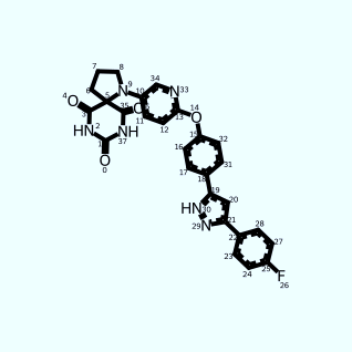 O=C1NC(=O)C2(CCCN2c2ccc(Oc3ccc(-c4cc(-c5ccc(F)cc5)n[nH]4)cc3)nc2)C(=O)N1